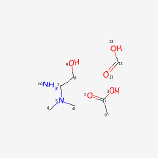 CC(=O)O.CN(C)CCO.N.O=CO